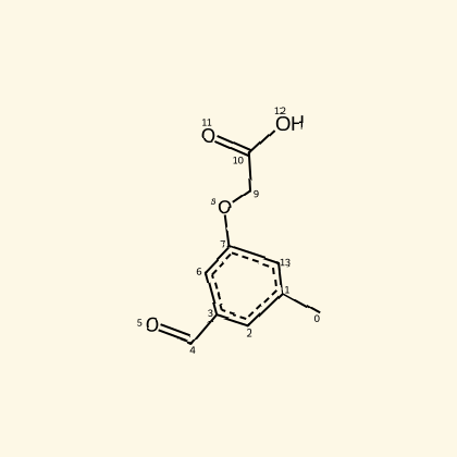 Cc1cc(C=O)cc(OCC(=O)O)c1